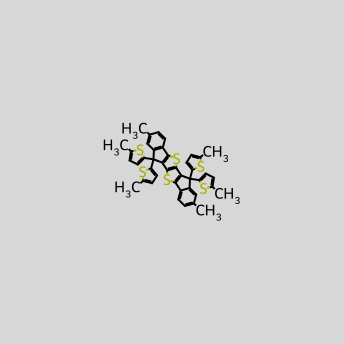 Cc1ccc2c(c1)C(c1ccc(C)s1)(c1ccc(C)s1)c1c-2sc2c3c(sc12)-c1ccc(C)cc1C3(c1ccc(C)s1)c1ccc(C)s1